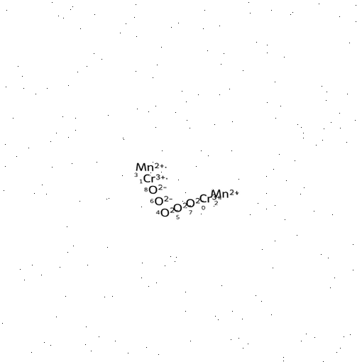 [Cr+3].[Cr+3].[Mn+2].[Mn+2].[O-2].[O-2].[O-2].[O-2].[O-2]